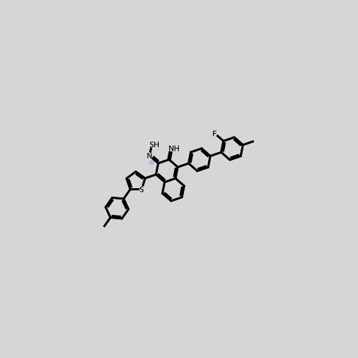 Cc1ccc(-c2ccc(C3=c4ccccc4=C(c4ccc(-c5ccc(C)cc5F)cc4)C(=N)/C3=N\S)s2)cc1